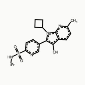 Cc1ccc2c(C#N)c(-c3ccc(S(=O)(=O)NC(C)C)nc3)n(C3CCC3)c2n1